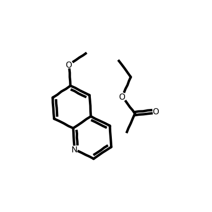 CCOC(C)=O.COc1ccc2ncccc2c1